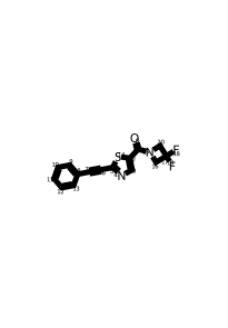 O=C(c1cnc(C#Cc2ccccc2)s1)N1CC(F)(F)C1